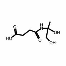 CC(O)(CO)NC(=O)CCC(=O)O